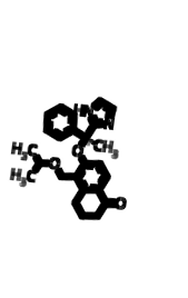 CC(C)OCc1c(O[C@@](C)(c2ccccc2)c2ncc[nH]2)ccc2c1CCCC2=O